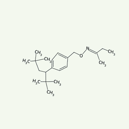 CC/C(C)=N/OCc1ccc(C(CC(C)(C)C)C(C)(C)C)cc1